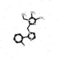 CCn1c(Cn2ccnc2-c2ccccc2F)nc(C)c1C